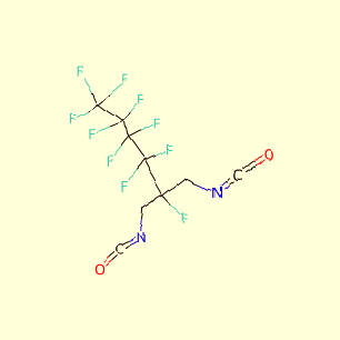 O=C=NCC(F)(CN=C=O)C(F)(F)C(F)(F)C(F)(F)C(F)(F)F